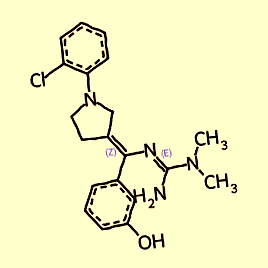 CN(C)/C(N)=N/C(=C1/CCN(c2ccccc2Cl)C1)c1cccc(O)c1